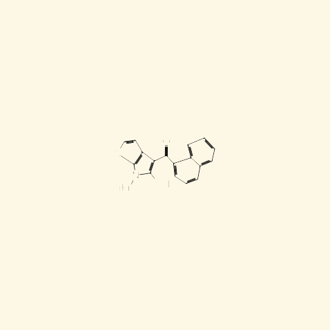 CCCn1c(C)c(C(=O)c2cccc3ccccc23)c2ccsc21